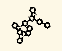 c1ccc(-c2ccc(-c3nc(-c4ccc(-n5c6ccccc6c6cc7c8ccccc8n8c9ccc%10ccccc%10c9c(c65)c78)cc4)nc4c3oc3ccccc34)cc2)cc1